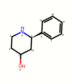 OC1CCN[C@@H](c2ccccc2)C1